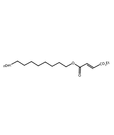 CCCCCCCCCCCCCCCCCCOC(=O)/C=C/C(=O)OCC